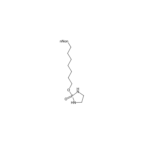 CCCCCCCCCCCCCCCCOP1(=O)NCCN1